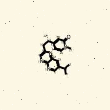 CC(C)c1cnc2ncc(C[C@H](C)c3ccn(C)c(=O)c3)nc2c1